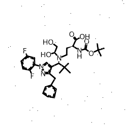 CC(C)(C)OC(=O)N[C@@H](CCN(C(O)CO)[C@@H](c1cn(-c2cc(F)ccc2F)nc1Cc1ccccc1)C(C)(C)C)C(=O)O